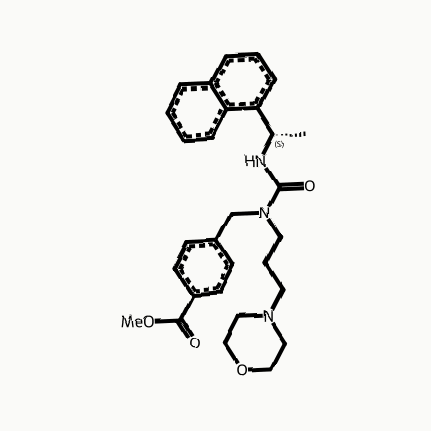 COC(=O)c1ccc(CN(CCCN2CCOCC2)C(=O)N[C@@H](C)c2cccc3ccccc23)cc1